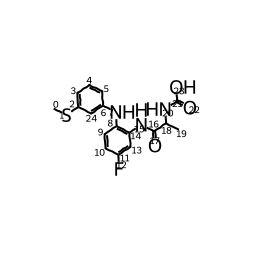 CSc1cccc(Nc2ccc(F)cc2NC(=O)C(C)NC(=O)O)c1